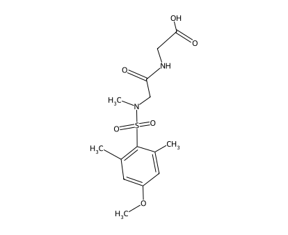 COc1cc(C)c(S(=O)(=O)N(C)CC(=O)NCC(=O)O)c(C)c1